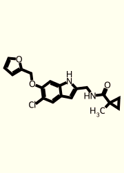 CC1(C(=O)NCc2cc3cc(Cl)c(OCc4ccco4)cc3[nH]2)CC1